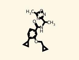 Cc1nc(C(C)NC(=O)c2ccc(C3CC3)c(OCC3CC3)c2)no1